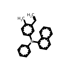 C=Cc1cc(N(c2ccccc2)c2cccc3ccccc23)ccc1C